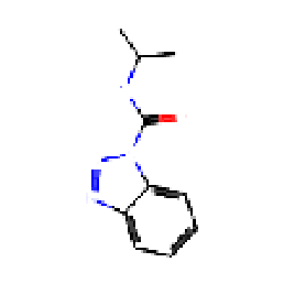 CC(C)NC(=O)n1nnc2ccccc21